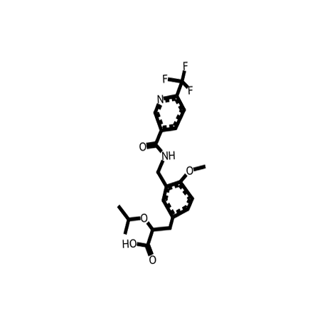 COc1ccc(CC(OC(C)C)C(=O)O)cc1CNC(=O)c1ccc(C(F)(F)F)nc1